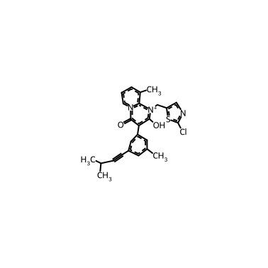 Cc1cc(C#CC(C)C)cc(-c2c(O)[n+](Cc3cnc(Cl)s3)c3c(C)cccn3c2=O)c1